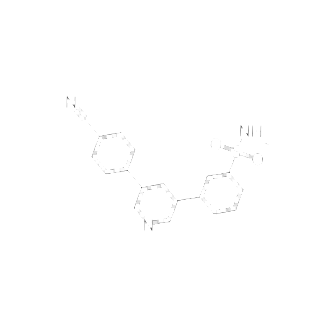 N#Cc1ccc(-c2cncc(-c3cccc(S(N)(=O)=O)c3)c2)cc1